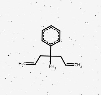 C=CCC(P)(CC=C)c1ccccc1